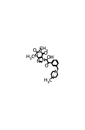 CN1CCN(Cc2cccc(C(=O)C(O)n3cnc4c3c(=O)n(C)c(=O)n4C)c2)CC1